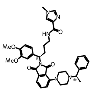 COc1ccc([C@@H](CCCNC(=O)c2cn(C)cn2)N2C(=O)c3cccc(N4CCN([C@H](C)c5ccccc5)CC4)c3C2=O)cc1OC